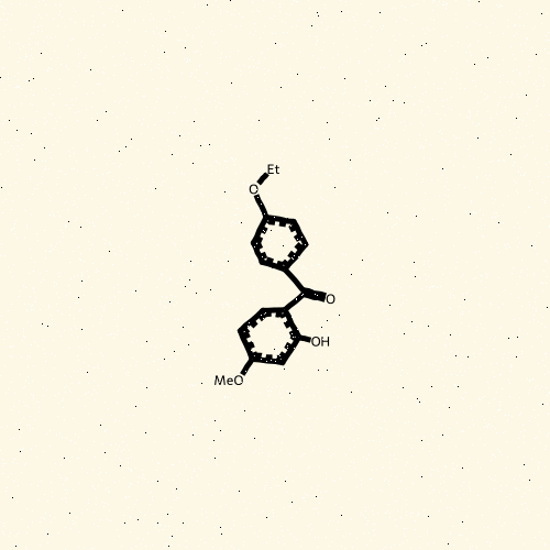 CCOc1ccc(C(=O)c2ccc(OC)cc2O)cc1